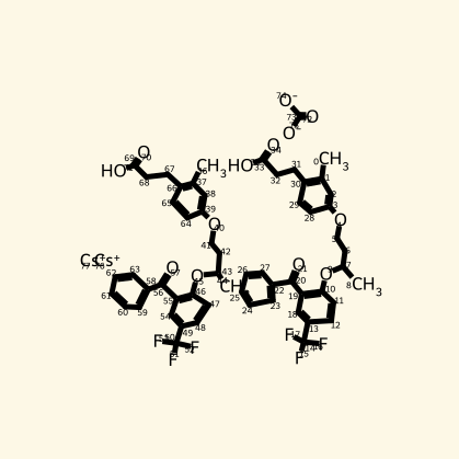 Cc1cc(OCCC(C)Oc2ccc(C(F)(F)F)cc2C(=O)c2ccccc2)ccc1CCC(=O)O.Cc1cc(OCCC(C)Oc2ccc(C(F)(F)F)cc2C(=O)c2ccccc2)ccc1CCC(=O)O.O=C([O-])[O-].[Cs+].[Cs+]